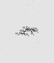 CC=CC(C)C(O)CCC(C)(C)OCCC(C)(C)N